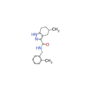 Cc1ccccc1CNC(=O)c1n[nH]c2c1CC(C)CC2